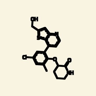 Cc1cc(Cl)cc(-c2ccnc3cc(CO)sc23)c1OC1CCCNC1=O